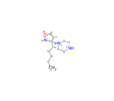 C1CNCCN1.CCCCCc1ccon1